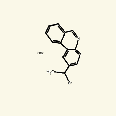 Br.CC(Br)c1ccc2ncc3ccccc3c2c1